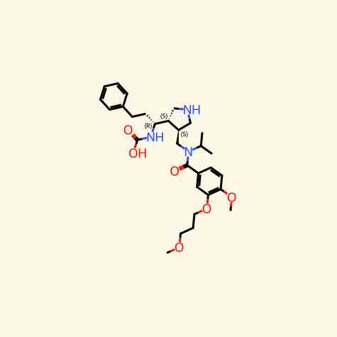 COCCCOc1cc(C(=O)N(C[C@@H]2CNC[C@H]2[C@@H](CCc2ccccc2)NC(=O)O)C(C)C)ccc1OC